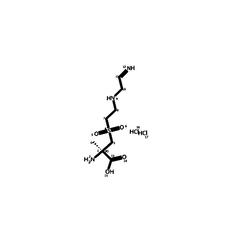 C[C@](N)(CS(=O)(=O)CCNCC=N)C(=O)O.Cl.Cl